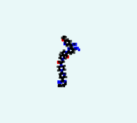 CN/C=N\C(=N)c1ccc(N2CCN(C(=O)CN3CC[C@]4(CCN(c5ccc(N)c(C(=N)c6ccc(OC(C)C)nc6)n5)C4=O)C3)CC2)nc1